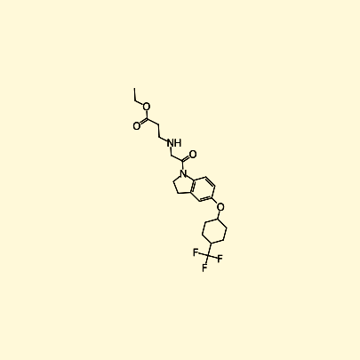 CCOC(=O)CCNCC(=O)N1CCc2cc(OC3CCC(C(F)(F)F)CC3)ccc21